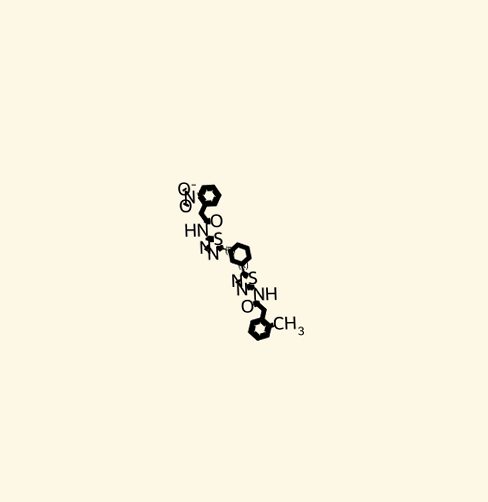 Cc1ccccc1CC(=O)Nc1nnc([C@@H]2CCC[C@@H](c3nnc(NC(=O)Cc4ccccc4[N+](=O)[O-])s3)C2)s1